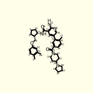 Cc1ccc(OC[C@H]2CCC[C@@H]2NC(=O)c2cc(-c3cc(C(=O)N4CCC(N5CCCC5)CC4)ccc3C)cnc2N)cc1C